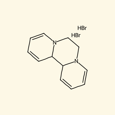 Br.Br.C1=CC2C3C=CC=CN3CCN2C=C1